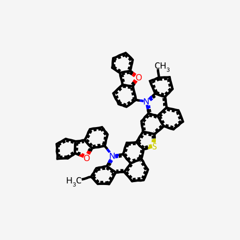 Cc1ccc2c3cccc4c5sc6c(cc7c8c(cccc68)c6ccc(C)cc6n7-c6cccc7c6oc6ccccc67)c5cc(c34)n(-c3cccc4c3oc3ccccc34)c2c1